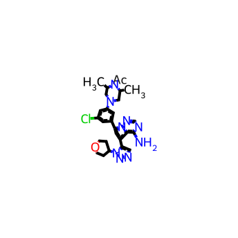 CC(=O)N1C(C)CN(c2cc(Cl)cc(-c3cc(-c4cnnn4C4CCOCC4)c4c(N)ncnn34)c2)CC1C